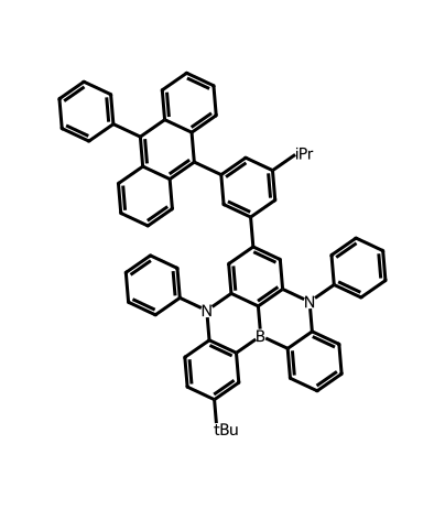 CC(C)c1cc(-c2cc3c4c(c2)N(c2ccccc2)c2ccc(C(C)(C)C)cc2B4c2ccccc2N3c2ccccc2)cc(-c2c3ccccc3c(-c3ccccc3)c3ccccc23)c1